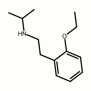 CCOc1ccccc1CCNC(C)C